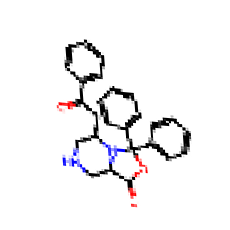 O=C(CC1CNCC2C(=O)OC(c3ccccc3)(c3ccccc3)N12)c1ccccc1